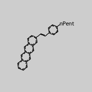 CCCCCc1ccc(C=Cc2ccc3cc4cc5ccccc5cc4cc3c2)cc1